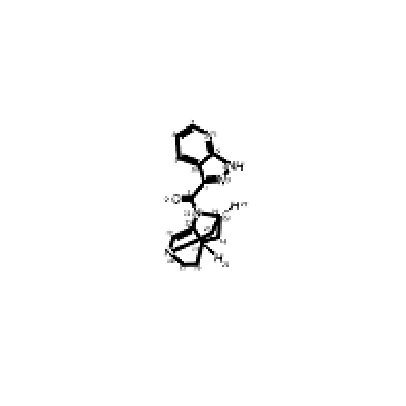 O=C(c1n[nH]c2ncccc12)N1C2=CN3CC[C@H]2C[C@H]1C3